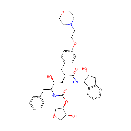 O=C(N[C@@H](Cc1ccccc1)[C@@H](O)C[C@@H](Cc1ccc(OCCN2CCOCC2)cc1)C(=O)N[C@H]1c2ccccc2C[C@H]1O)O[C@@H]1COC[C@@H]1O